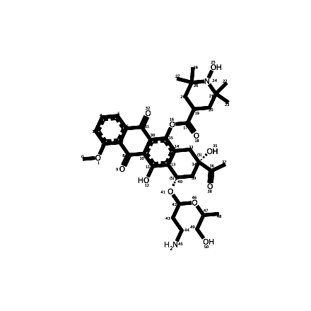 COc1cccc2c1C(=O)c1c(O)c3c(c(OC(=O)C4CC(C)(C)N(O)C(C)(C)C4)c1C2=O)C[C@@](O)(C(C)=O)C[C@@H]3OC(CCN)OC(C)CO